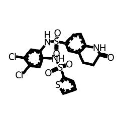 O=C1CCc2cc(S(=O)(=O)Nc3cc(Cl)c(Cl)cc3NS(=O)(=O)c3cccs3)ccc2N1